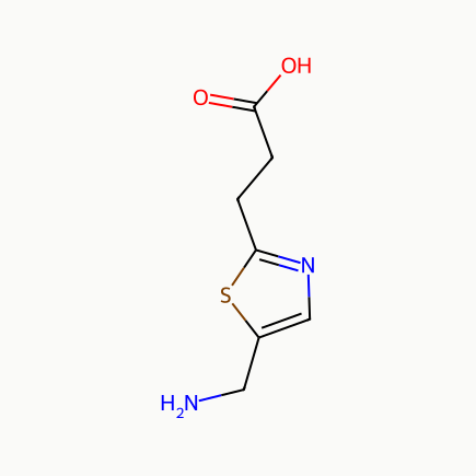 NCc1cnc(CCC(=O)O)s1